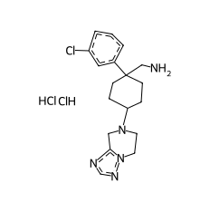 Cl.Cl.NCC1(c2cccc(Cl)c2)CCC(N2CCn3ncnc3C2)CC1